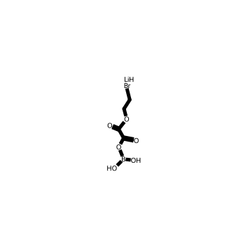 O=C(OCCBr)C(=O)OB(O)O.[LiH]